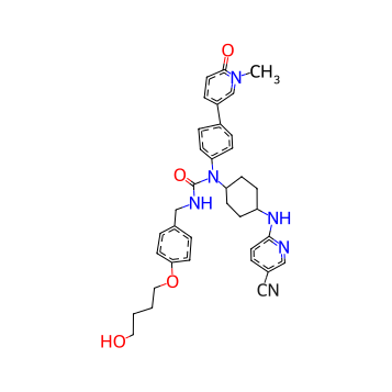 Cn1cc(-c2ccc(N(C(=O)NCc3ccc(OCCCCO)cc3)C3CCC(Nc4ccc(C#N)cn4)CC3)cc2)ccc1=O